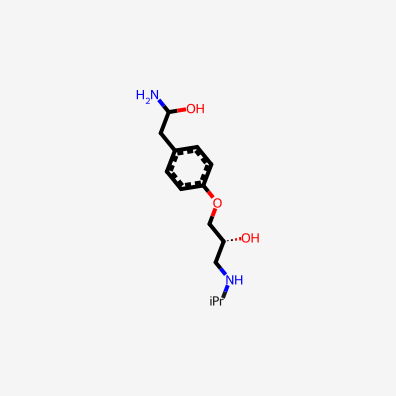 CC(C)NC[C@@H](O)COc1ccc(CC(N)O)cc1